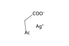 CC(=O)CC(=O)[O-].[Ag+]